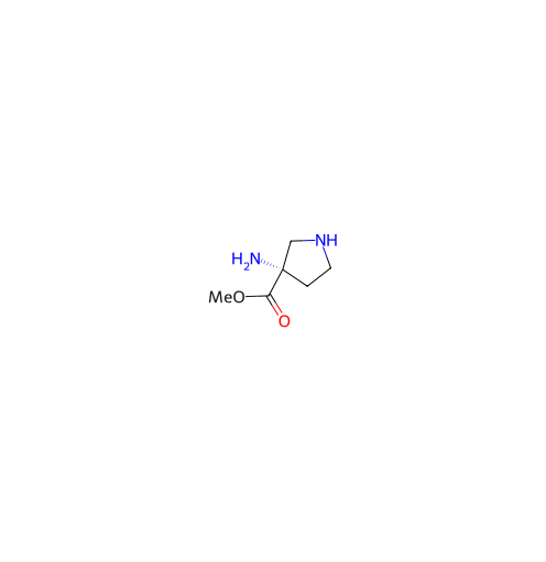 COC(=O)[C@]1(N)CCNC1